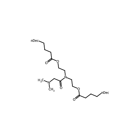 CCCCCCCCCCCCCC(=O)OCCN(CCOC(=O)CCCCCCCCCCCCC)C(=O)CN(C)C